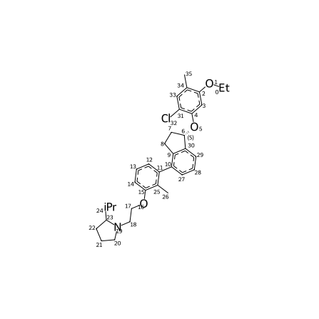 CCOc1cc(O[C@H]2CCc3c(-c4cccc(OCCN5CCCC5C(C)C)c4C)cccc32)c(Cl)cc1C